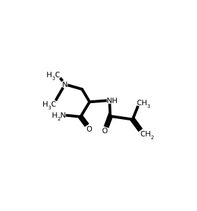 C=C(C)C(=O)NC(CN(C)C)C(N)=O